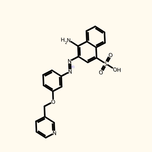 Nc1c(/N=N/c2cccc(OCc3cccnc3)c2)cc(S(=O)(=O)O)c2ccccc12